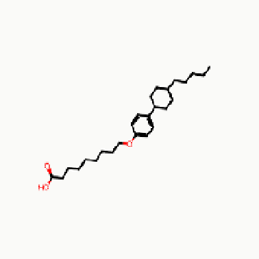 CCCCCC1CCC(c2ccc(OCCCCCCCCC(=O)O)cc2)CC1